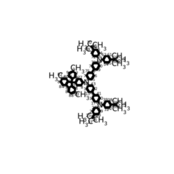 Cc1ccc(C2(c3ccc(N(c4ccc(-c5ccc(N(c6ccc(C(C)(C)C)cc6)c6ccc(C(C)(C)C)cc6)cc5)cc4)c4ccc(-c5ccc(N(c6ccc(C(C)(C)C)cc6)c6ccc(C(C)(C)C)cc6)cc5)cc4)cc3)c3cc(C)ccc3-c3ccc(C)cc32)cc1